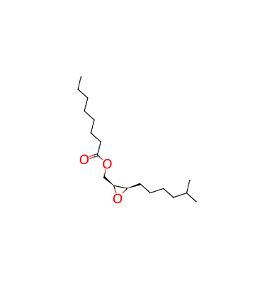 CCCCCCCC(=O)OC[C@@H]1O[C@@H]1CCCCC(C)C